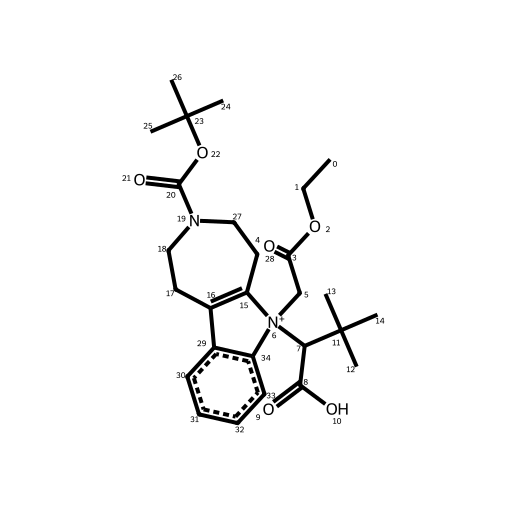 CCOC(=O)C[N+]1(C(C(=O)O)C(C)(C)C)C2=C(CCN(C(=O)OC(C)(C)C)CC2)c2ccccc21